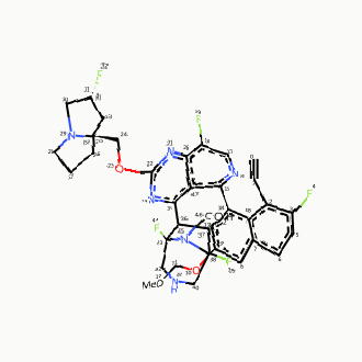 C#Cc1c(F)ccc2cc(OCOC)cc(-c3ncc(F)c4nc(OC[C@@]56CCCN5C[C@H](F)C6)nc(C5CC6(F)CNCC5(F)N6C(=O)O)c34)c12